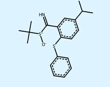 CC(C)c1ccc(Sc2ccccc2)c(C(=N)[S+]([O-])C(C)(C)C)c1